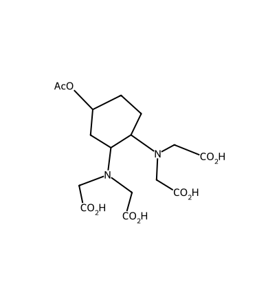 CC(=O)OC1CCC(N(CC(=O)O)CC(=O)O)C(N(CC(=O)O)CC(=O)O)C1